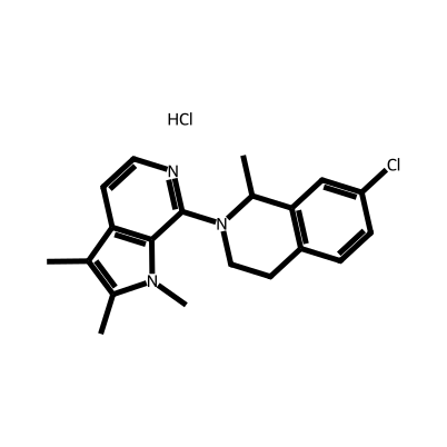 Cc1c(C)n(C)c2c(N3CCc4ccc(Cl)cc4C3C)nccc12.Cl